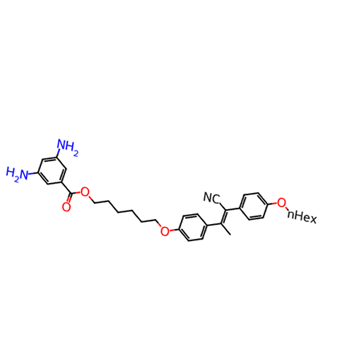 CCCCCCOc1ccc(/C(C#N)=C(\C)c2ccc(OCCCCCCOC(=O)c3cc(N)cc(N)c3)cc2)cc1